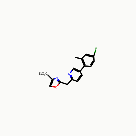 CCOC(=O)c1coc(Cc2ccc(-c3ccc(F)cc3C)cn2)n1